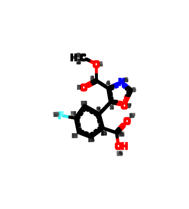 COC(=O)c1ncoc1-c1cc(F)ccc1C(=O)O